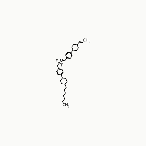 CC=CC1CCC(c2ccc(COC(F)(F)Cc3ccc(C4CCC(CCCCCCC)CC4)cc3)cc2)CC1